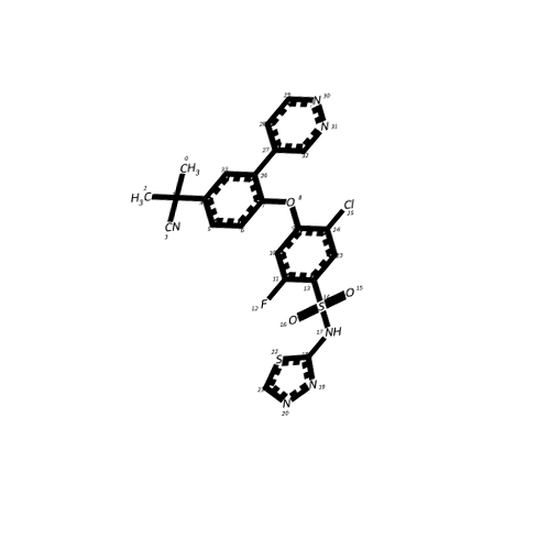 CC(C)(C#N)c1ccc(Oc2cc(F)c(S(=O)(=O)Nc3nncs3)cc2Cl)c(-c2ccnnc2)c1